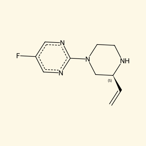 C=C[C@H]1CN(c2ncc(F)cn2)CCN1